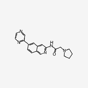 O=C(CN1CCCC1)Nc1cc2cc(-c3cnccn3)ccc2cn1